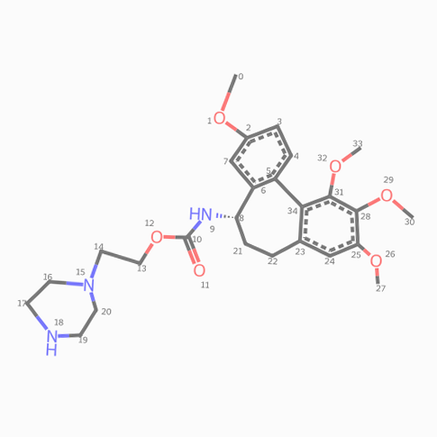 COc1ccc2c(c1)[C@@H](NC(=O)OCCN1CCNCC1)CCc1cc(OC)c(OC)c(OC)c1-2